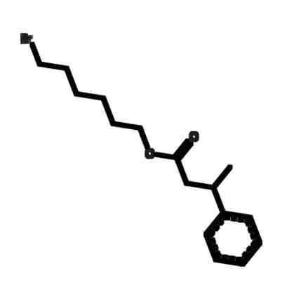 CC(CC(=O)OCCCCCCBr)c1ccccc1